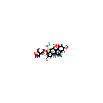 Cc1oncc1C(=O)O[C@]1(C(=O)SCF)[C@H](C)C[C@H]2[C@@H]3C[C@H](F)C4=CC(=O)C=C[C@]4(C)[C@@]3(F)[C@@H](O)C[C@@]21C